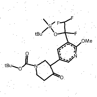 COc1ncc(C2CN(C(=O)OC(C)(C)C)CCC2=O)cc1C(F)(O[Si](C)(C)C(C)(C)C)C(F)F